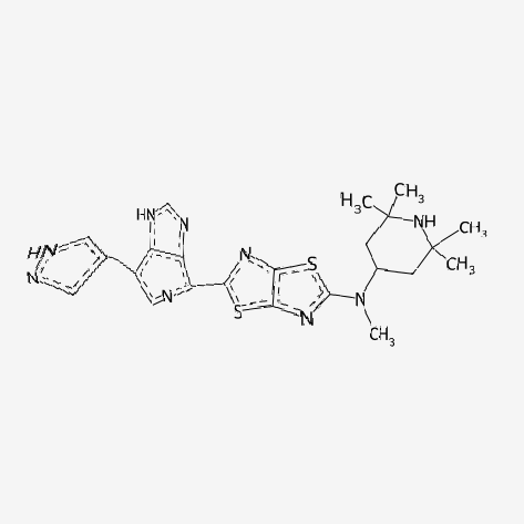 CN(c1nc2sc(-c3ncc(-c4cn[nH]c4)c4[nH]cnc34)nc2s1)C1CC(C)(C)NC(C)(C)C1